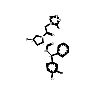 CC(C)c1ccc([C@@H](NC(=O)[C@@H]2C[C@@H](F)CN2C(=O)Cn2nnnc2C(F)(F)F)c2ccccc2)cc1F